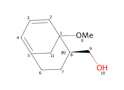 COC12C=CC=C(CC[C@@H]1CO)C2